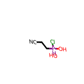 N#CCC[PH](O)(O)Cl